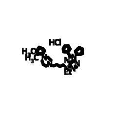 CCN(CCCCN1CCCN(c2cccc(C)c2C)CC1)c1ncnc2c1nc(-c1ccccc1)n2-c1ccccc1.Cl